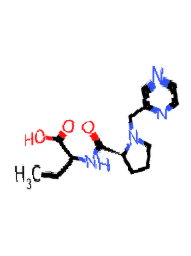 CCC(NC(=O)[C@@H]1CCCN1Cc1cnccn1)C(=O)O